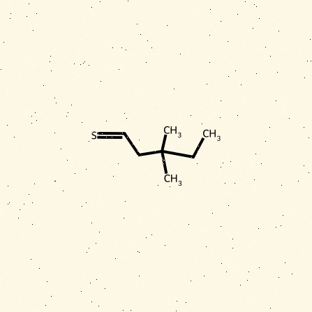 CCC(C)(C)CC=S